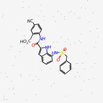 N#Cc1ccc(NC(=O)c2cc3cccc(NS(=O)(=O)Cc4ccccc4)c3[nH]2)c(C(=O)O)c1